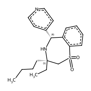 CCCC[C@@]1(CC)CS(=O)(=O)c2ccccc2[C@@H](c2ccncc2)N1